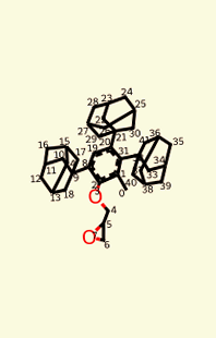 Cc1c(OCC2CO2)c(C23CC4CC(CC(C4)C2)C3)cc(C23CC4CC(CC(C4)C2)C3)c1C12CC3CC(CC(C3)C1)C2